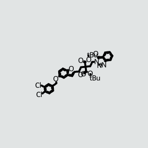 CC(C)(C)OC(=O)C(CCn1nnc2ccccc2c1=O)(CC(=O)c1cc2cc(OCc3ccc(Cl)c(Cl)c3)ccc2o1)C(=O)OC(C)(C)C